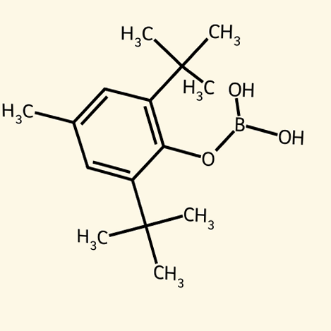 Cc1cc(C(C)(C)C)c(OB(O)O)c(C(C)(C)C)c1